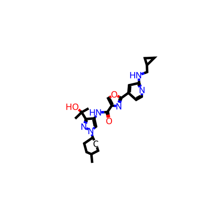 CC1CCC(n2cc(NC(=O)c3coc(-c4ccnc(NCC5CC5)c4)n3)c(C(C)(C)O)n2)CC1